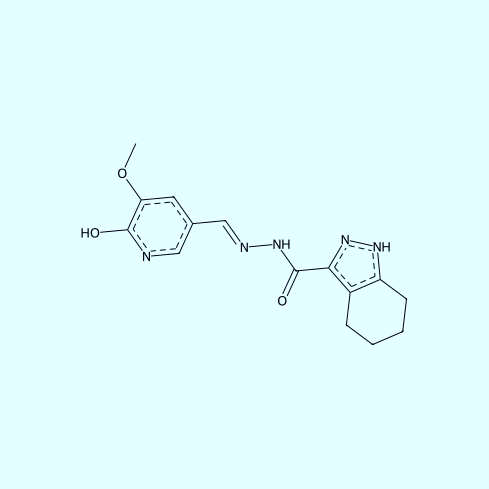 COc1cc(/C=N/NC(=O)c2n[nH]c3c2CCCC3)cnc1O